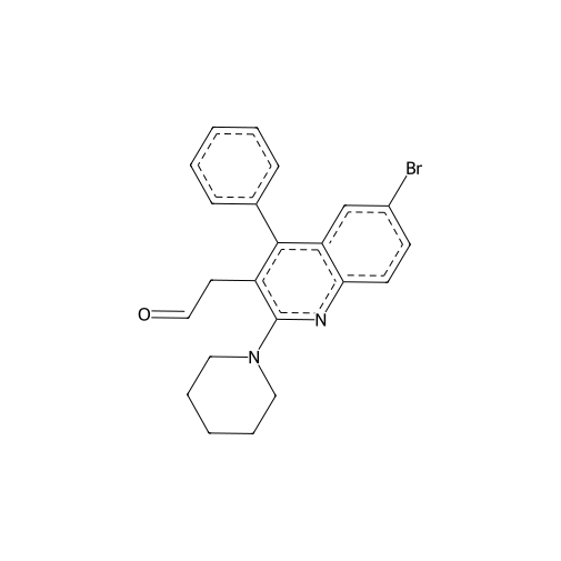 O=CCc1c(N2CCCCC2)nc2ccc(Br)cc2c1-c1ccccc1